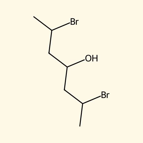 CC(Br)CC(O)CC(C)Br